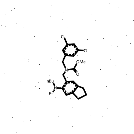 CCCCN(CC)c1cc2c(cc1CN(Cc1cc(Cl)cc(Cl)c1)C(=O)OC)CCC2